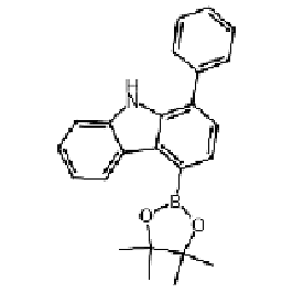 CC1(C)OB(c2ccc(-c3ccccc3)c3[nH]c4ccccc4c23)OC1(C)C